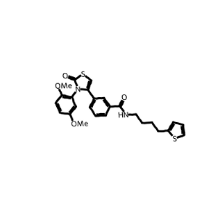 COc1ccc(OC)c(-n2c(-c3cccc(C(=O)NCCCCc4cccs4)c3)csc2=O)c1